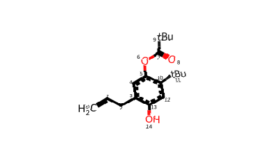 C=CCc1cc(OC(=O)C(C)(C)C)c(C(C)(C)C)cc1O